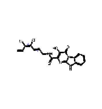 C=C/C(Cl)=C(Cl)\C=C\CNC(=O)c1nc2[nH]c3ccccc3n2c(=O)c1O